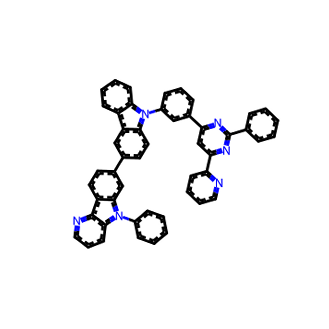 c1ccc(-c2nc(-c3cccc(-n4c5ccccc5c5cc(-c6ccc7c8ncccc8n(-c8ccccc8)c7c6)ccc54)c3)cc(-c3ccccn3)n2)cc1